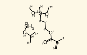 C=C(C)C(=O)OCCC[Si](C)(OC)OC.CC(C)O[SiH3]